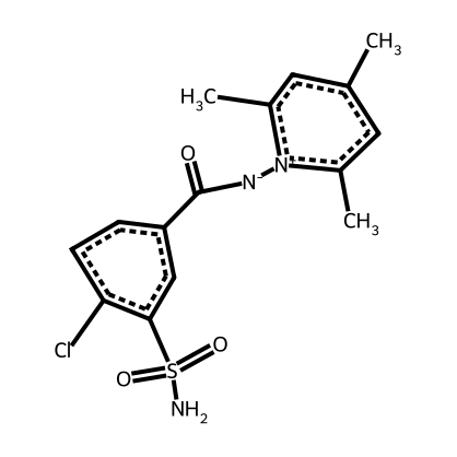 Cc1cc(C)[n+]([N-]C(=O)c2ccc(Cl)c(S(N)(=O)=O)c2)c(C)c1